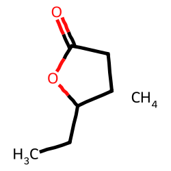 C.CCC1CCC(=O)O1